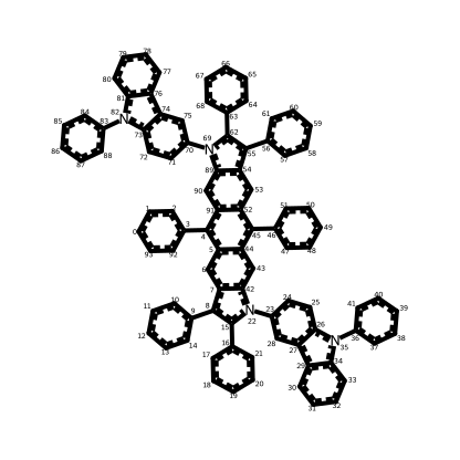 c1ccc(-c2c3cc4c(-c5ccccc5)c(-c5ccccc5)n(-c5ccc6c(c5)c5ccccc5n6-c5ccccc5)c4cc3c(-c3ccccc3)c3cc4c(-c5ccccc5)c(-c5ccccc5)n(-c5ccc6c(c5)c5ccccc5n6-c5ccccc5)c4cc23)cc1